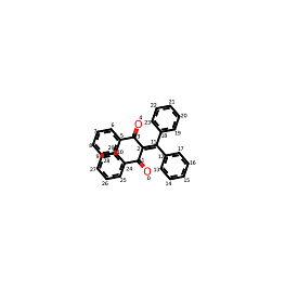 O=C(C(C(=O)c1ccccc1)=C(c1ccccc1)c1ccccc1)c1ccccc1